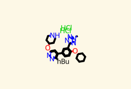 CCCCc1nnc(OC2CCNCC2)cc1-c1ccc(OC2CCCCC2)c(-c2nnn(C)n2)c1.Cl.Cl